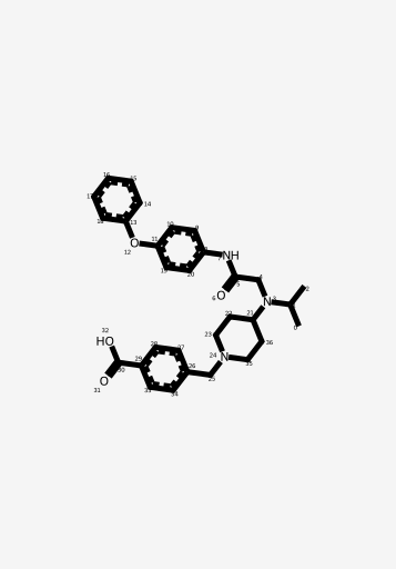 CC(C)N(CC(=O)Nc1ccc(Oc2ccccc2)cc1)C1CCN(Cc2ccc(C(=O)O)cc2)CC1